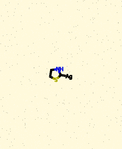 [Ag][CH]1NCCS1